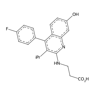 CC(C)c1c(NCCC(=O)O)nc2cc(O)ccc2c1-c1ccc(F)cc1